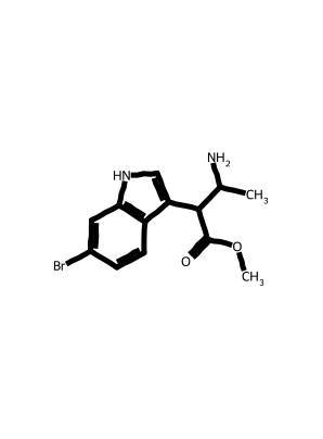 COC(=O)C(c1c[nH]c2cc(Br)ccc12)C(C)N